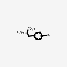 CC(=O)N[C@@H](Cc1ccc(C(C)C)cc1)C(=O)O